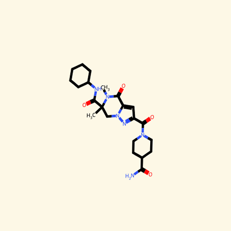 CN1C(=O)c2cc(C(=O)N3CCC(C(N)=O)CC3)nn2CC1(C)C(=O)NC1CCCCC1